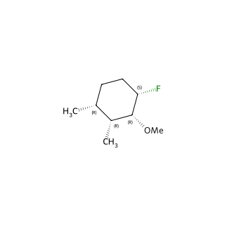 CO[C@@H]1[C@H](C)[C@H](C)CC[C@@H]1F